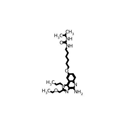 CCCn1c(COCC)nc2c(N)nc3ccc(OCCCCCCNC(=O)NC(C)C)cc3c21